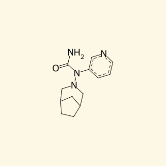 NC(=O)N(c1cccnc1)N1CC2CCC(C2)C1